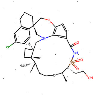 CO[C@@]1(C)CCC[C@H](C)[C@@H](CCO)S(=O)(=O)NC(=O)c2ccc3c(c2)N(C[C@@H]2CC[C@H]21)C[C@@]1(CCCc2cc(Cl)ccc21)CO3